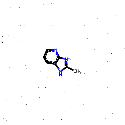 CC1=[N+]c2ncccc2N1